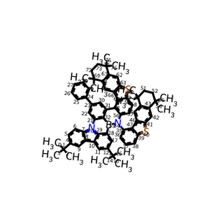 CC(C)(C)c1ccc2c(c1)c1cc(C(C)(C)C)cc3c1n2-c1cc(-c2ccccc2)cc2c1B3N(c1cccc3sc4cc5c(cc4c13)C(C)(C)CCC5(C)C)c1ccc3sc4cc5c(cc4c3c1-2)C(C)(C)CCC5(C)C